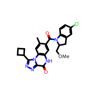 COCC1Cc2cc(Cl)ccc2N1C(=O)c1cc2[nH]c(=O)c3nnc(C4CCC4)n3c2cc1C